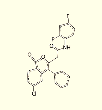 O=C(Cc1oc(=O)c2ccc(Cl)cc2c1-c1ccccc1)Nc1ccc(F)cc1F